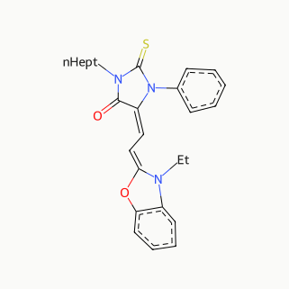 CCCCCCCN1C(=O)C(=CC=C2Oc3ccccc3N2CC)N(c2ccccc2)C1=S